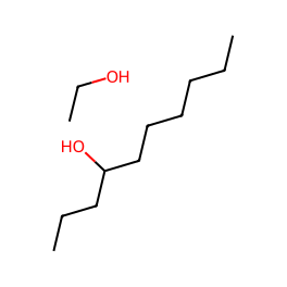 CCCCCCC(O)CCC.CCO